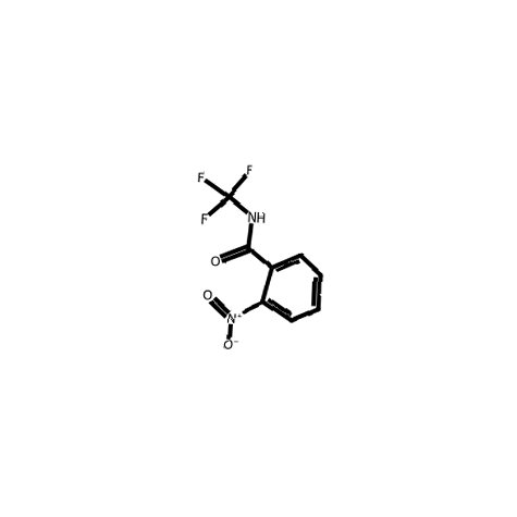 O=C(NC(F)(F)F)c1ccccc1[N+](=O)[O-]